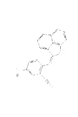 N#Cc1cc([N+](=O)[O-])ccc1/N=C1/Nc2cccc3cccc1c23